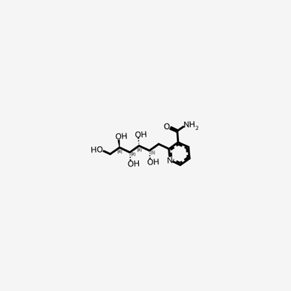 NC(=O)c1cccnc1C[C@H](O)[C@@H](O)[C@H](O)[C@H](O)CO